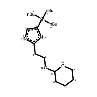 CCC[CH2][Sn]([CH2]CCC)([CH2]CCC)[c]1c[nH]c(CCOC2CCCCO2)n1